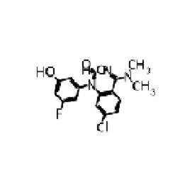 C/N=C(\c1ccc(Cl)cc1N(C=O)c1cc(O)cc(F)c1)N(C)C